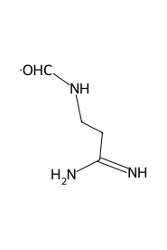 N=C(N)CCN[C]=O